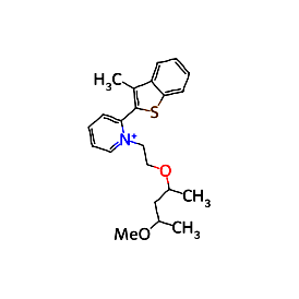 COC(C)CC(C)OCC[n+]1ccccc1-c1sc2ccccc2c1C